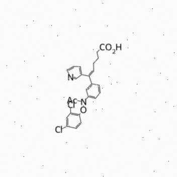 CC(=O)N(Oc1ccc(Cl)cc1Cl)c1cccc(/C(=C/CCCC(=O)O)c2cccnc2)c1